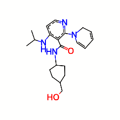 CC(C)Nc1ccnc(N2C=CC=CC2)c1C(=O)NC1CCC(CO)CC1